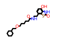 O=C(CCCCCOCCC1CCCCC1)NCCc1ccc(O)c2[nH]c(=O)sc12